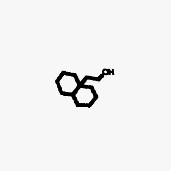 OCCC12CCCCC1CCCC2